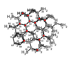 BBB(B)B(B(B)B)B(B(B(B)B)B(B)B)B(B(B(B(B)B)B(B)B)B(B(B)B)B(BB)B(B)B)B(B(B(B(B)B)B(B)B)B(B(B)B)B(B)B)B(B(B(BB)B(B)B)B(B(B)B)B(B)B)c1ccccc1